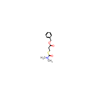 CN(C)C(=O)SCCC(=O)OCc1ccccc1